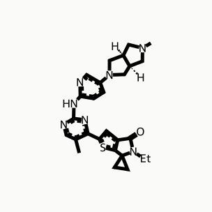 CCN1C(=O)c2cc(-c3nc(Nc4ccc(N5C[C@H]6CN(C)C[C@H]6C5)cn4)ncc3C)sc2C12CC2